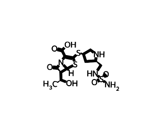 C[C@@H](O)[C@H]1C(=O)N2C(C(=O)O)=C(S[C@H]3CN[C@@H](CNS(N)(=O)=O)C3)S[C@H]12